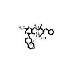 Cc1nc(NNC(=O)[C@@H](CC2CCCC2)CN(O)C=O)c(F)c(N2CCN3CCOC[C@@H]3C2)n1